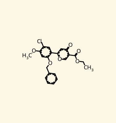 CCOC(=O)c1coc(-c2cc(Cl)c(OC)cc2OCc2ccccc2)cc1=O